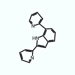 c1ccc(-c2cc3cccc(-c4ccccn4)c3[nH]2)nc1